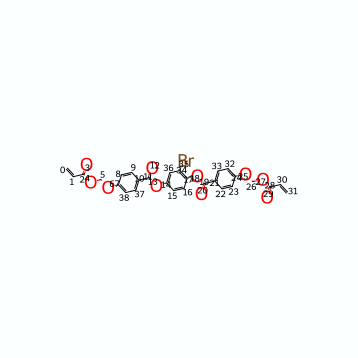 C=CC(=O)OCOc1ccc(C(=O)Oc2ccc(OC(=O)c3ccc(OCOC(=O)C=C)cc3)c(Br)c2)cc1